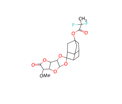 COC1C(=O)OC2C3OC4(OC3OC12)C1CC2CC4CC(OC(=O)C(C)(F)F)(C2)C1